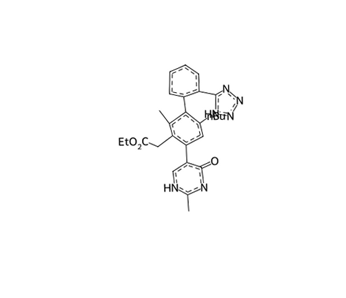 CCCCc1cc(-c2c[nH]c(C)nc2=O)c(CC(=O)OCC)c(C)c1-c1ccccc1-c1nnn[nH]1